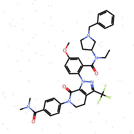 CCN(C(=O)c1cc(OC)ccc1-n1nc(C(F)(F)F)c2c1C(=O)N(c1ccc(C(=O)N(C)C)cc1)CC2)[C@H]1CCN(Cc2ccccc2)C1